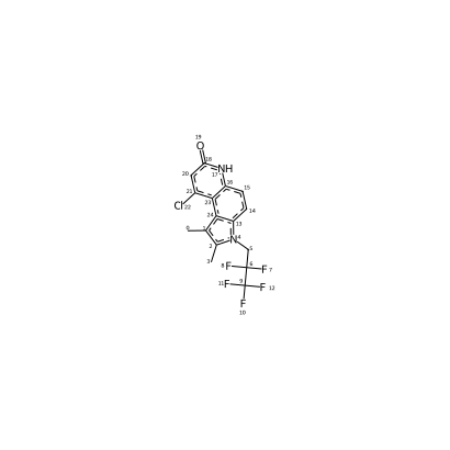 Cc1c(C)n(CC(F)(F)C(F)(F)F)c2ccc3[nH]c(=O)cc(Cl)c3c12